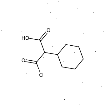 O=C(O)C(C(=O)Cl)C1CCCCC1